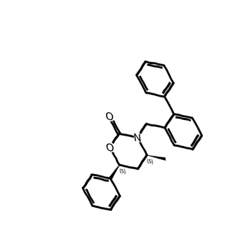 C[C@H]1C[C@@H](c2ccccc2)OC(=O)N1Cc1ccccc1-c1ccccc1